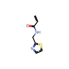 C=CC(=O)NCc1nccs1